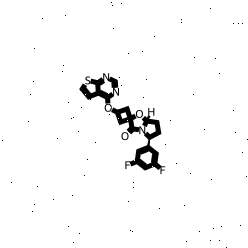 O=C1N2[C@@H](CC[C@H]2c2cc(F)cc(F)c2)OC12CC(Oc1ncnc3sccc13)C2